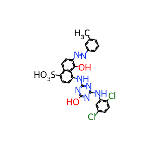 Cc1cccc(N=Nc2ccc3c(S(=O)(=O)O)ccc(Nc4nc(O)nc(Nc5cc(Cl)ccc5Cl)n4)c3c2O)c1